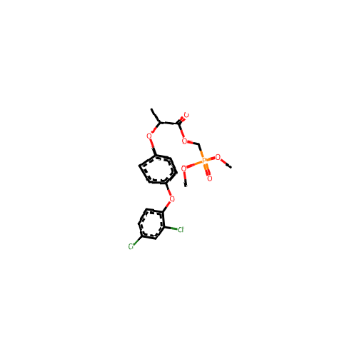 COP(=O)(COC(=O)C(C)Oc1ccc(Oc2ccc(Cl)cc2Cl)cc1)OC